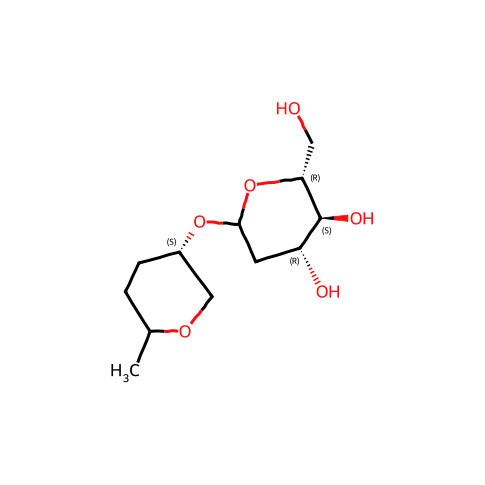 CC1CC[C@H](OC2C[C@@H](O)[C@H](O)[C@@H](CO)O2)CO1